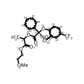 COCCOC(=O)C(C)OC(=O)[C@@](Oc1ccc(C(F)(F)F)cc1Cl)(c1ccccc1)[N+](=O)[O-]